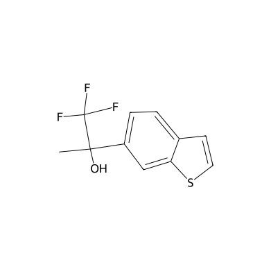 CC(O)(c1ccc2ccsc2c1)C(F)(F)F